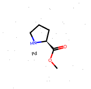 COC(=O)[C@@H]1CCCN1.[Pd]